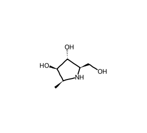 C[C@@H]1N[C@H](CO)[C@@H](O)[C@@H]1O